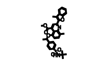 COC(=O)c1cc(-c2oc3ccccc3c2C)nc2c(C)ccc(OC(C)c3ccc(S(=O)(=O)NC(C)(C)C)cc3)c12